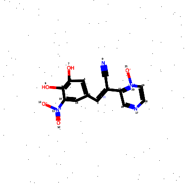 N#C/C(=C\c1cc(O)c(O)c([N+](=O)[O-])c1)c1cncc[n+]1[O-]